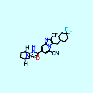 CC(=O)N1[C@H]2CC[C@@H]1[C@H](NC(=O)c1cc(C#N)n3c(CC4CCC(F)(F)CC4)c(C(F)(F)F)nc3c1)C2